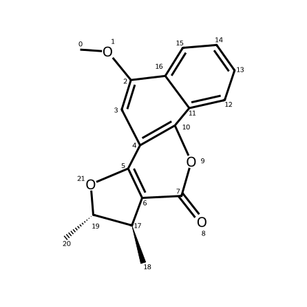 COc1cc2c3c(c(=O)oc2c2ccccc12)[C@@H](C)[C@H](C)O3